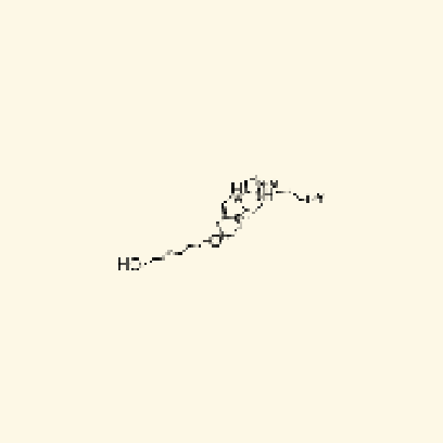 CC(C)CCC[C@@H](C)[C@H]1CCC2[C@@H]3CC=C4C[C@@H](OCCCCCCCCO)CC[C@]4(C)C3CC[C@@H]21